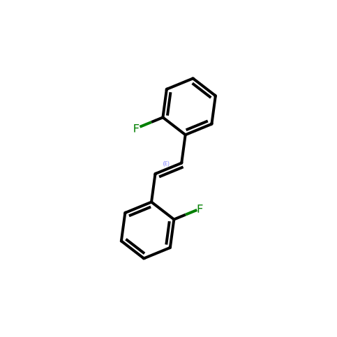 Fc1ccccc1/C=C/c1ccccc1F